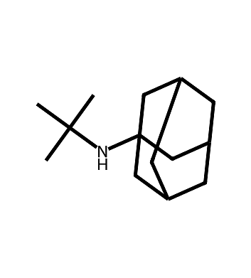 CC(C)(C)NC12CC3CC(CC(C3)C1)C2